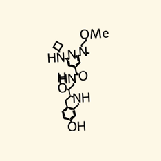 COCCN(C)c1cc(C(=O)NCC(O)[C@@H]2Cc3ccc(O)cc3CN2)cc(NC2CCC2)n1